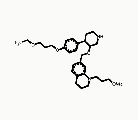 COCCCN1CCCc2ccc(COC3CNCCC3c3ccc(OCCCOCC(F)(F)F)cc3)cc21